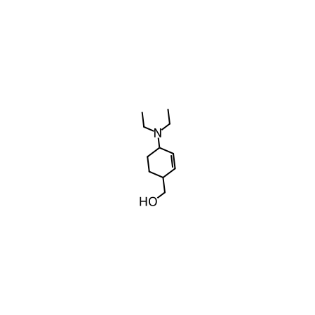 CCN(CC)C1C=CC(CO)CC1